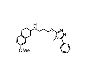 COc1ccc2c(c1)CC(NCCCSc1nnc(-c3ccccc3)n1C)CC2